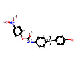 CC(C)(c1ccc(O)cc1)c1ccc(NC(=O)Oc2ccc([N+](=O)[O-])cc2)cc1